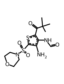 CC(C)(C)C(=O)c1sc(S(=O)(=O)N2CCOCC2)c(N)c1NC=O